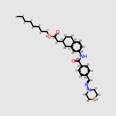 CCCCCCCCOC(=O)CC1CCc2ccc(NC(=O)c3ccc(C=NN4CCSCC4)cc3)cc2C1